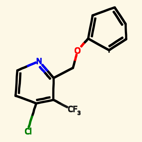 FC(F)(F)c1c(Cl)ccnc1COc1[c]cccc1